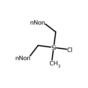 CCCCCCCCCC[Si](C)(Cl)CCCCCCCCCC